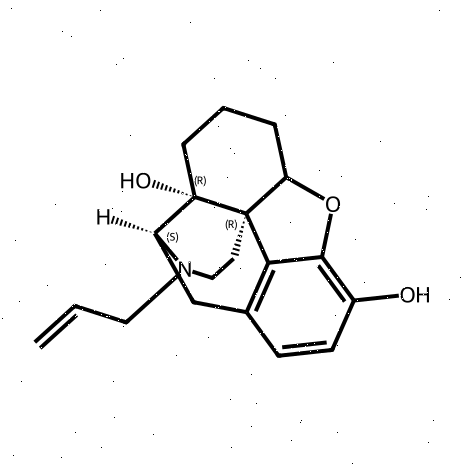 C=CCN1CC[C@@]23c4c5ccc(O)c4OC2CCC[C@]3(O)[C@@H]1C5